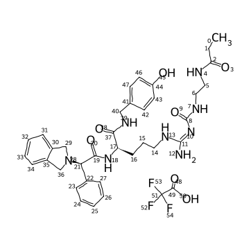 CCC(=O)NCCNC(=O)/N=C(/N)NCCC[C@@H](NC(=O)[C@@H](c1ccccc1)N1Cc2ccccc2C1)C(=O)NCc1ccc(O)cc1.O=C(O)C(F)(F)F